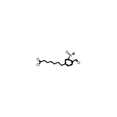 O=Cc1ccc(CCCCCCC(=O)Cl)cc1[N+](=O)[O-]